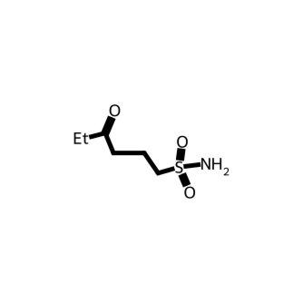 CCC(=O)CCCS(N)(=O)=O